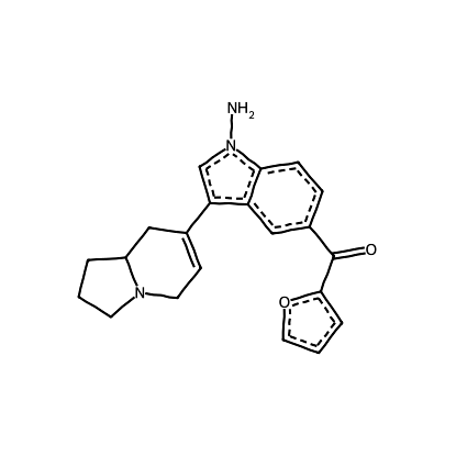 Nn1cc(C2=CCN3CCCC3C2)c2cc(C(=O)c3ccco3)ccc21